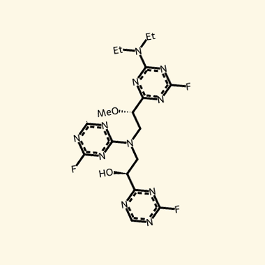 CCN(CC)c1nc(F)nc([C@H](CN(C[C@H](O)c2ncnc(F)n2)c2n[c]nc(F)n2)OC)n1